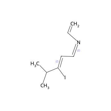 C=C/N=C\C=C(/I)C(C)C